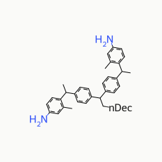 CCCCCCCCCCCC(c1ccc(C(C)c2ccc(N)cc2C)cc1)c1ccc(C(C)c2ccc(N)cc2C)cc1